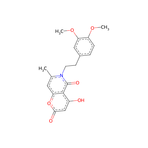 COc1ccc(CCn2c(C)cc3oc(=O)cc(O)c3c2=O)cc1OC